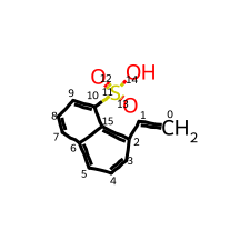 C=Cc1cccc2cccc(S(=O)(=O)O)c12